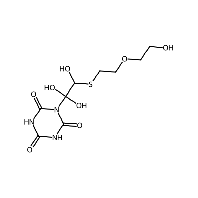 O=c1[nH]c(=O)n(C(O)(O)C(O)SCCOCCO)c(=O)[nH]1